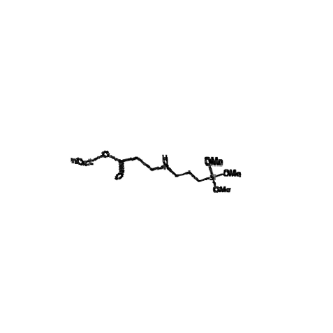 CCCCCCCCOC(=O)CCNCCC[Si](OC)(OC)OC